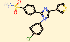 NS(=O)(=O)c1ccc(-c2nc(-c3ccsc3)cn2-c2ccc(Cl)cc2)cc1